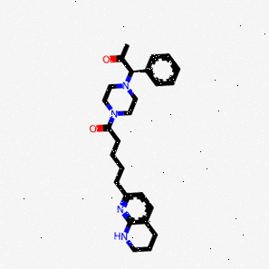 CC(=O)[C@@H](c1ccccc1)N1CCN(C(=O)CCCCc2ccc3c(n2)NCCC3)CC1